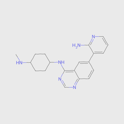 CNC1CCC(Nc2ncnc3ccc(-c4cccnc4N)cc23)CC1